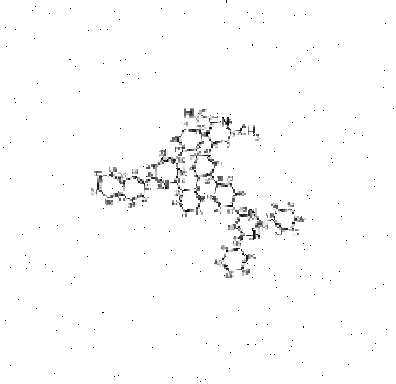 Cc1cc(-c2ccc(-c3ccccc3C3=NC(c4ccccc4)=C=CC(c4ccc5ccccc5c4)=N3)c(-c3ccc(-c4cc(-c5ccccc5)nc(-c5ccccc5)n4)cc3)c2)cc(C)n1